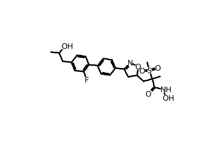 CC(O)Cc1ccc(-c2ccc(C3=NOC(CC(C)(C(=O)NO)S(C)(=O)=O)C3)cc2)c(F)c1